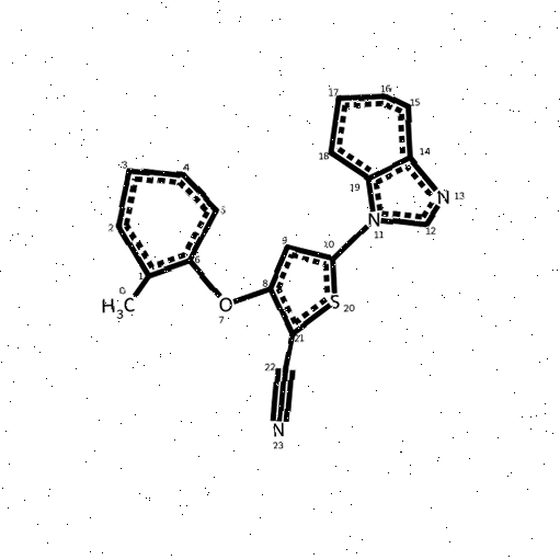 Cc1ccccc1Oc1cc(-n2cnc3ccccc32)sc1C#N